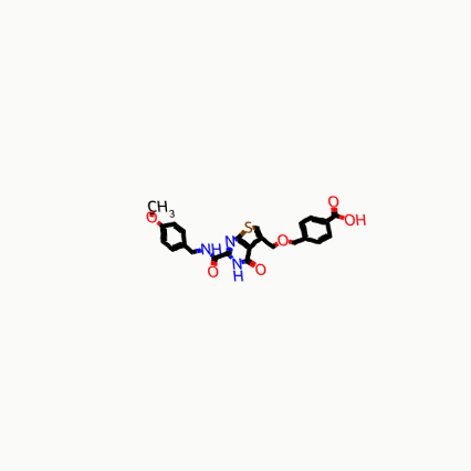 COc1ccc(CNC(=O)c2nc3scc(COCc4ccc(C(=O)O)cc4)c3c(=O)[nH]2)cc1